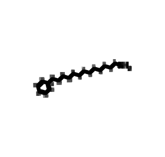 NCCCCCCCCCCCCCc1ccccc1